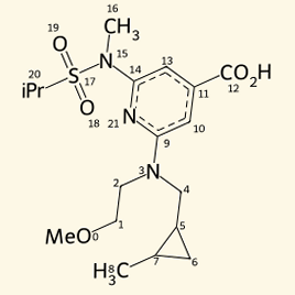 COCCN(CC1CC1C)c1cc(C(=O)O)cc(N(C)S(=O)(=O)C(C)C)n1